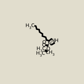 CCCCCCCCC(=O)C1CNCCN1C(=O)OC(C)(C)C